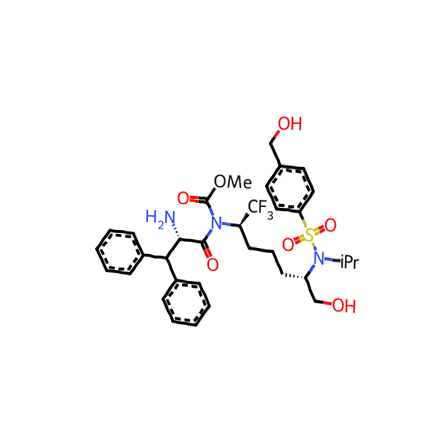 COC(=O)N(C(=O)[C@@H](N)C(c1ccccc1)c1ccccc1)[C@H](CCC[C@@H](CO)N(C(C)C)S(=O)(=O)c1ccc(CO)cc1)C(F)(F)F